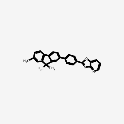 Cc1ccc2c(c1)C(C)(C)c1cc(-c3ccc(-c4nc5ncccc5o4)cc3)ccc1-2